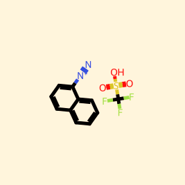 N#[N+]c1cccc2ccccc12.O=S(=O)(O)C(F)(F)F